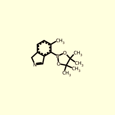 Cc1ccc2c(c1B1OC(C)(C)C(C)(C)O1)C=NC2